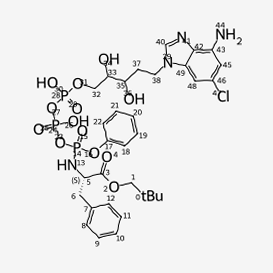 CC(C)(C)COC(=O)[C@H](Cc1ccccc1)NP(=O)(Oc1ccccc1)OP(=O)(O)OP(=O)(O)OCC(O)C(O)CCn1cnc2c(N)cc(Cl)cc21